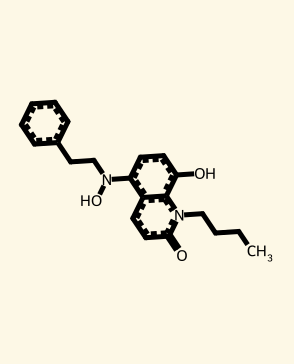 CCCCn1c(=O)ccc2c(N(O)CCc3ccccc3)ccc(O)c21